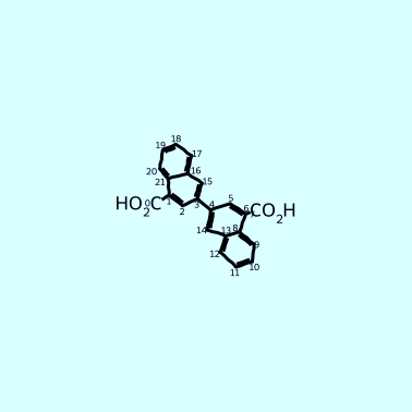 O=C(O)c1cc(-c2cc(C(=O)O)c3ccccc3c2)cc2ccccc12